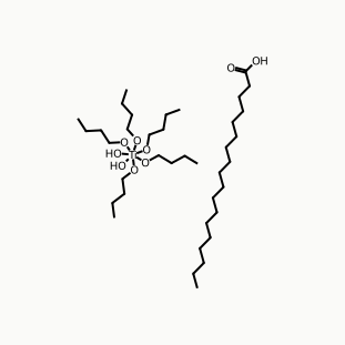 CCCCCCCCCCCCCCCCCC(=O)O.CCCC[O][Ti]([OH])([OH])([O]CCCC)([O]CCCC)([O]CCCC)[O]CCCC